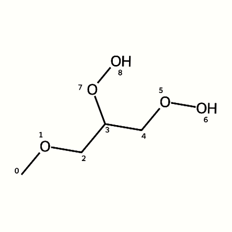 COCC(COO)OO